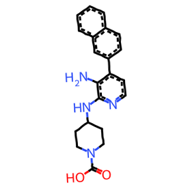 Nc1c(-c2ccc3ccccc3c2)ccnc1NC1CCN(C(=O)O)CC1